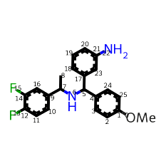 COc1ccc(C(NC(C)c2ccc(F)c(F)c2)c2cccc(N)c2)cc1